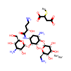 NCC[C@H](O)C(=O)N[C@@H]1C[C@H](N)[C@@H](O[C@H]2O[C@H](CN)[C@@H](O)[C@H](O)[C@H]2O)[C@H](O)[C@H]1O[C@H]1O[C@H](CO)[C@@H](O)[C@H](N)[C@H]1O.O=C([O-])CC([S][Au])C(=O)[O-].[Na+].[Na+]